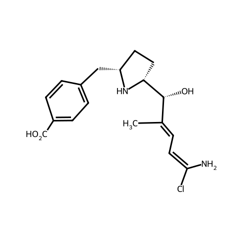 C/C(=C\C=C(/N)Cl)[C@@H](O)[C@H]1CC[C@@H](Cc2ccc(C(=O)O)cc2)N1